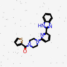 O=C(c1cccs1)N1CCN(c2cccc(-c3nc4ccccc4[nH]3)n2)CC1